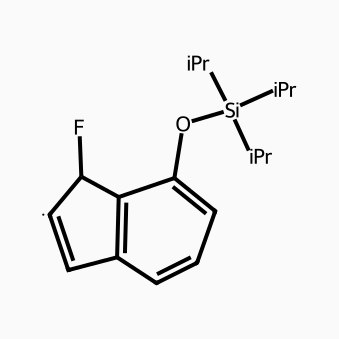 CC(C)[Si](Oc1cccc2c1C(F)[C]=C2)(C(C)C)C(C)C